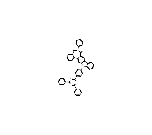 O=c1c2ccccc2c2cc3c(cc2c(=O)n1-c1ccccc1)c1ccccc1n3-c1ccc(-c2nc(-c3ccccc3)nc(-c3ccccc3)n2)cc1